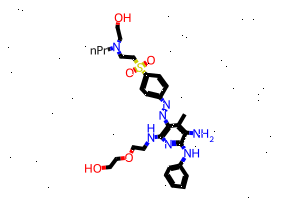 CCCN(CCO)CCS(=O)(=O)c1ccc(/N=N/c2c(NCCOCCO)nc(Nc3ccccc3)c(N)c2C)cc1